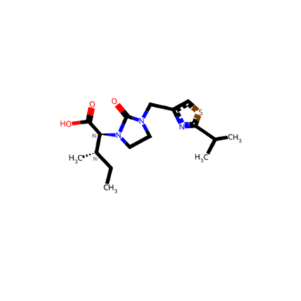 CC[C@H](C)[C@@H](C(=O)O)N1CCN(Cc2csc(C(C)C)n2)C1=O